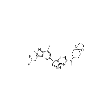 Cc1nc2c(F)cc(-c3c[nH]c4nc(NC5CCC6(CC5)OCCO6)ncc34)cc2n1CC(F)F